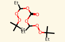 CCC(OOC(C)(C)CC)OC(=O)OC(CC)OOC(C)(C)CC